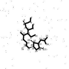 CCC(C[C@@H](C)CC)C(CC)C(C)CC[C@@H](C)C[C@@H]1C[C@H](I)C(CC(C)C)[C@@H]1C